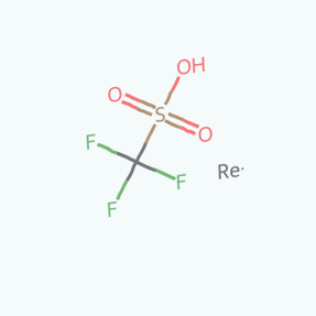 O=S(=O)(O)C(F)(F)F.[Re]